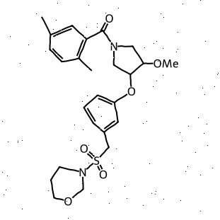 COC1CN(C(=O)c2cc(C)ccc2C)CC1Oc1cccc(CS(=O)(=O)N2CCCOC2)c1